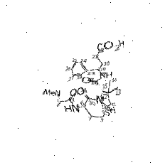 CN[C@@H](C)C(=O)N[C@H]1CCS[C@H]2CC(C)(C)[C@@H](C(=O)N[C@H](CCC(=O)O)c3ccccc3)N2C1=O